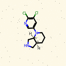 Clc1cc(N2CCC[C@H]3CNC[C@H]32)cnc1Cl